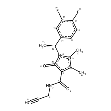 C#CCNC(=O)c1c(C)n(C)n([C@@H](C)c2ccc(F)c(F)c2)c1=O